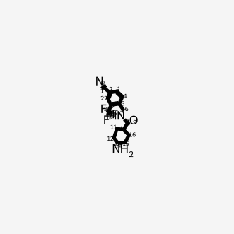 N#Cc1ccc(CNC(=O)C2CCC(N)CC2)c(C(F)(F)F)c1